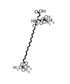 CC(C)(C)OC(=O)CCCCCCCCCCCCCCCCOON[C@@H](CCC(=O)O)C(=O)OC(C)(C)C